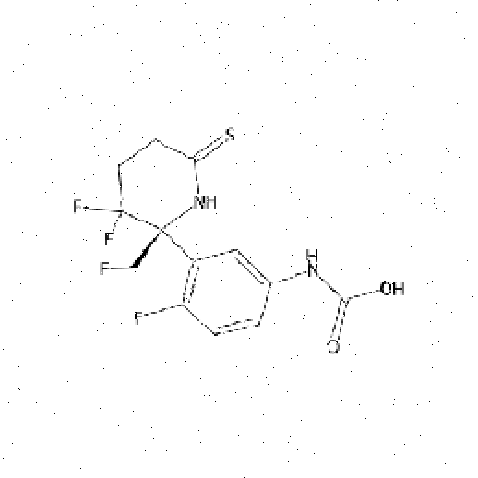 O=C(O)Nc1ccc(F)c([C@@]2(CF)NC(=S)CCC2(F)F)c1